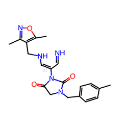 Cc1ccc(CN2CC(=O)N(/C(C=N)=C/NCc3c(C)noc3C)C2=O)cc1